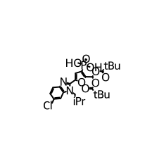 CC(C)Cn1c(-c2cc(P(=O)(O)O)c(C(OC(=O)C(C)(C)C)OC(=O)C(C)(C)C)o2)nc2ccc(Cl)cc21